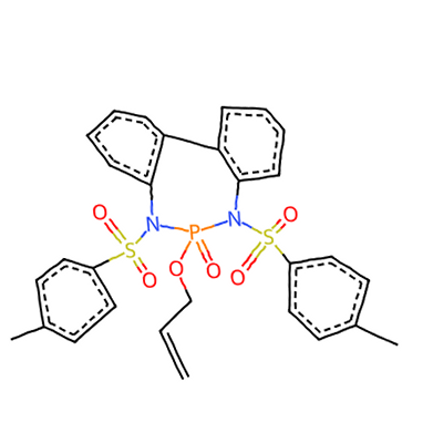 C=CCOP1(=O)N(S(=O)(=O)c2ccc(C)cc2)c2ccccc2-c2ccccc2N1S(=O)(=O)c1ccc(C)cc1